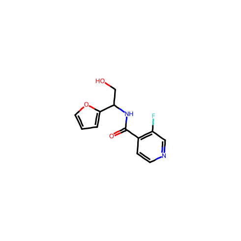 O=C(NC(CO)c1ccco1)c1ccncc1F